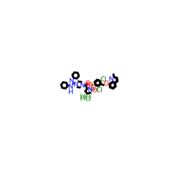 Cc1ccc2cccc(OCc3c(Cl)ccc(S(=O)(=O)N4CCCC4C(=O)N4CCN(/C(=N\C5CCCCC5)NC5CCCCC5)CC4)c3Cl)c2n1.Cl.Cl